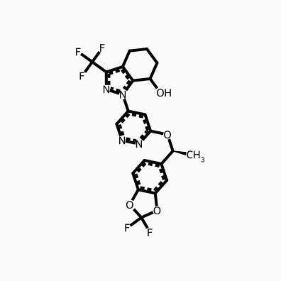 C[C@H](Oc1cc(-n2nc(C(F)(F)F)c3c2C(O)CCC3)cnn1)c1ccc2c(c1)OC(F)(F)O2